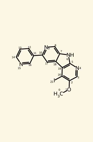 COc1cnc2[nH]c3cnc(-c4cccnc4)cc3c2c1I